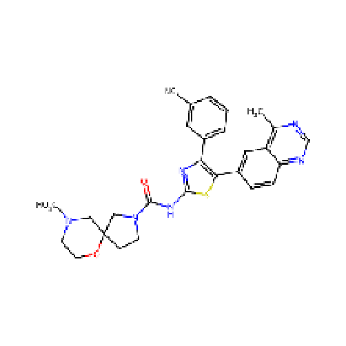 Cc1ncnc2ccc(-c3sc(NC(=O)N4CCC5(CN(C(=O)O)CCO5)C4)nc3-c3cccc(C#N)c3)cc12